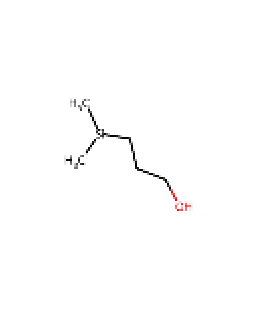 C[Si](C)CCCO